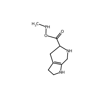 CPOC(=O)C1CC2=C(CN1)NCC2